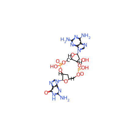 Nc1nc(N)c2ncn([C@@H]3O[C@@H]4COP(=O)(O)O[C@@H]5C[C@@H](COP(=O)(O)O[C@H]4[C@H]3O)O[C@H]5n3cnc4c(=O)[nH]c(N)nc43)c2n1